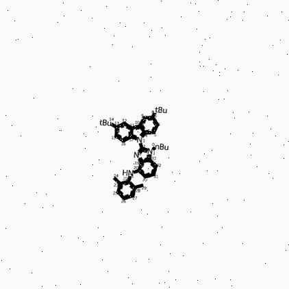 CCCCn1c(-n2c3ccc(C(C)(C)C)cc3c3cc(C(C)(C)C)ccc32)nc2c(Nc3c(C)cccc3C)cccc21